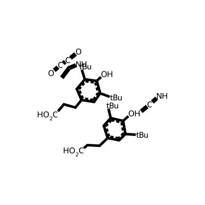 C=C=N.C=C=N.CC(C)(C)c1cc(CCC(=O)O)cc(C(C)(C)C)c1O.CC(C)(C)c1cc(CCC(=O)O)cc(C(C)(C)C)c1O.O=C=C=O